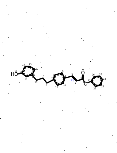 O=C(/C=C/c1ccc(CCCc2cccc(O)c2)cc1)Oc1ccccc1